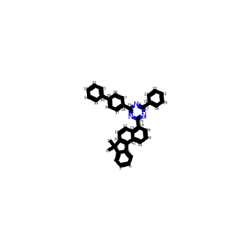 CC1(C)c2ccccc2-c2c1ccc1c(-c3nc(-c4ccccc4)nc(-c4ccc(-c5ccccc5)cc4)n3)cccc21